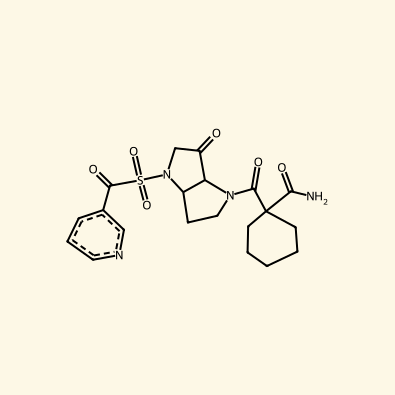 NC(=O)C1(C(=O)N2CCC3C2C(=O)CN3S(=O)(=O)C(=O)c2cccnc2)CCCCC1